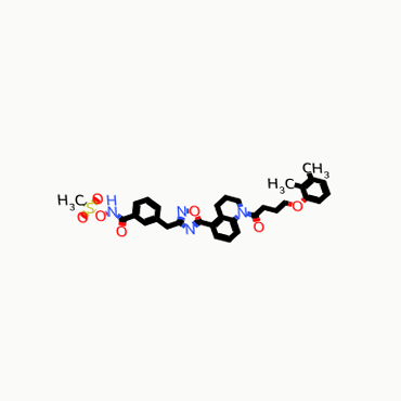 Cc1cccc(OCCCC(=O)N2CCCc3c(-c4nc(Cc5cccc(C(=O)NOS(C)(=O)=O)c5)no4)cccc32)c1C